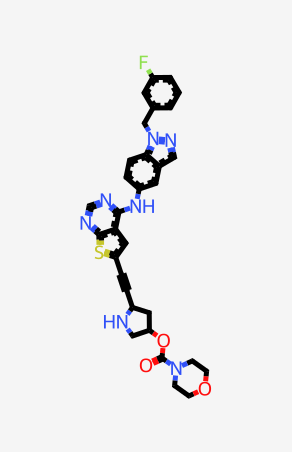 O=C(OC1CNC(C#Cc2cc3c(Nc4ccc5c(cnn5Cc5cccc(F)c5)c4)ncnc3s2)C1)N1CCOCC1